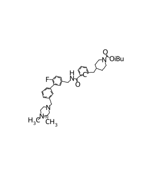 CC(C)COC(=O)N1CCC(Cc2cccc(C(=O)NCc3ccc(F)c(-c4cccc(CN5CCN(C)[C@@H](C)C5)c4)c3)c2)CC1